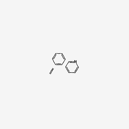 C=C.c1ccccc1.c1ccncc1